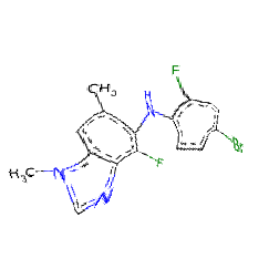 Cc1cc2c(ncn2C)c(F)c1Nc1ccc(Br)cc1F